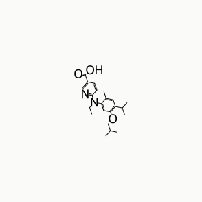 CCN(c1ccc(C(=O)O)cn1)c1cc(OCC(C)C)c(C(C)C)cc1C